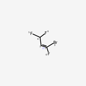 F/C(Br)=C/C(F)F